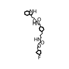 O=C(COCc1ccc(F)cc1)NCCCc1ccc(CNC(=O)OCCc2c[nH]c3ccccc23)cc1